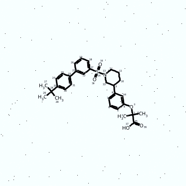 CC(C)(Oc1cccc(C2CCCN(S(=O)(=O)c3cccc(-c4ccc(C(C)(C)C)cc4)c3)C2)c1)C(=O)O